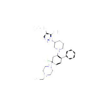 CC(C)CN1CCN(C2(Cl)C=CC(c3ccccc3)=C(N3CCCC(n4ncc(C(=O)O)c4C(F)(F)F)C3)C2)CC1